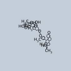 CC#C[C@@]1(O)CCC2C3CCC4=CC(=O)CCC4=C3[C@H](c3ccc(OCCO[C@H]4CC[C@@]5(C)C(C4)C[C@@H](O)[C@H]4[C@@H]6CC[C@H]([C@H](C)CCC(=O)O)[C@@]6(C)[C@H](O)C[C@@H]45)c(C)c3)C[C@@]21C